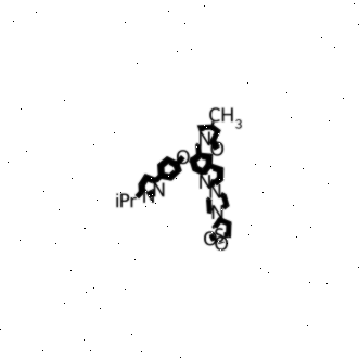 CC(C)c1ccc(-c2ccc(Oc3cc4nc(N5CCN([C@H]6CCS(=O)(=O)C6)CC5)ccc4cc3CN3C[C@@H](C)CC3=O)cc2)nn1